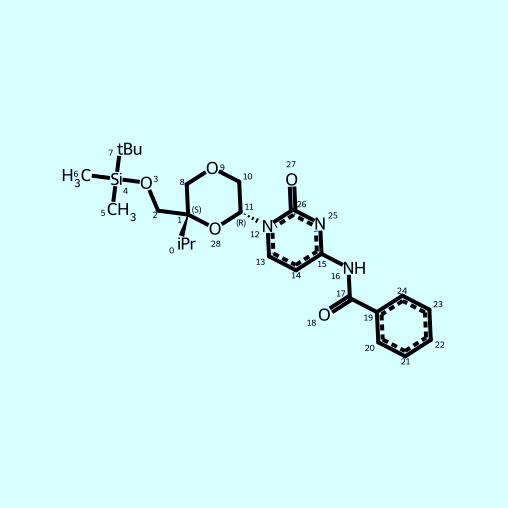 CC(C)[C@@]1(CO[Si](C)(C)C(C)(C)C)COC[C@H](n2ccc(NC(=O)c3ccccc3)nc2=O)O1